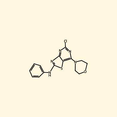 Clc1nc(N2CCOCC2)c2sc(Nc3ccccc3)nc2n1